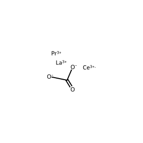 O=C([O-])[O-].[Ce+3].[La+3].[Pr+3]